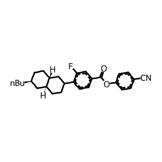 CCCC[C@H]1CC[C@@H]2CC(c3ccc(C(=O)Oc4ccc(C#N)cc4)cc3F)CC[C@H]2C1